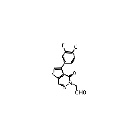 O=CCn1ncc2scc(-c3ccc(Cl)c(F)c3)c2c1=O